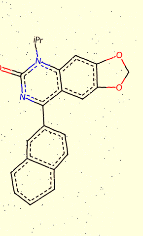 CC(C)n1c(=O)nc(-c2ccc3ccccc3c2)c2cc3c(cc21)OCO3